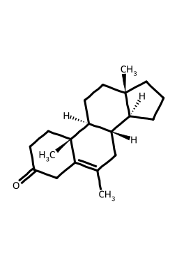 CC1=C2CC(=O)CC[C@]2(C)[C@H]2CC[C@]3(C)CCC[C@H]3[C@@H]2C1